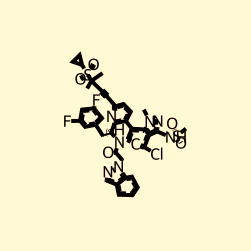 Cn1nc(NS(C)(=O)=O)c2c(Cl)ccc(-c3ccc(C#CC(C)(C)S(=O)(=O)C4CC4)nc3[C@H](Cc3cc(F)cc(F)c3)NC(=O)Cn3ncc4ccccc43)c21